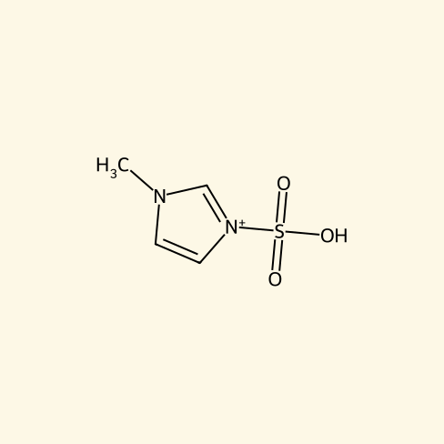 Cn1cc[n+](S(=O)(=O)O)c1